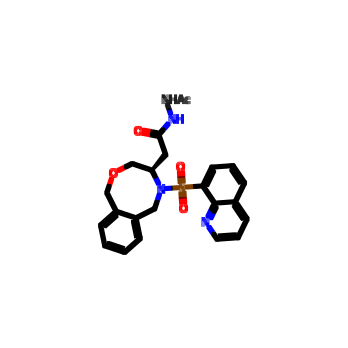 CC(=O)NNC(=O)C[C@@H]1COCc2ccccc2CN1S(=O)(=O)c1cccc2cccnc12